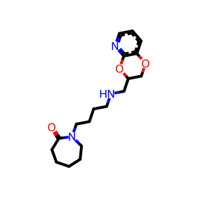 O=C1CCCCCN1CCCCNCC1COc2cccnc2O1